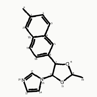 Cc1ccc2cc(C3OC(C)OC3n3ccnc3)ccc2c1